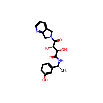 C[C@@H](NC(=O)[C@H](O)[C@@H](O)C(=O)N1Cc2cccnc2C1)C1=CCCC(O)=C1